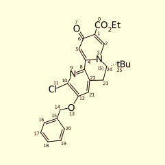 CCOC(=O)c1cn2c(cc1=O)-c1nc(Cl)c(OCc3ccccc3)cc1C[C@H]2C(C)(C)C